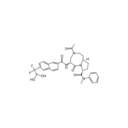 CC(=O)N1CC[C@H]2CC[C@@H](C(=O)N(C)c3ccccc3)N2C(=O)[C@@H](NC(=O)c2ccc3cc(C(F)(F)P(O)O)ccc3c2)C1